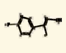 CC(=NO)c1ccc(F)nc1